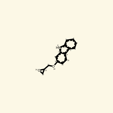 c1ccc2c(c1)[nH]c1cc(OCC3CO3)ccc12